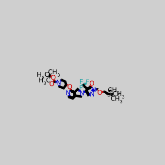 CC(C)(C)OC(=O)N1CCC(Oc2nccc3c2CN(c2cnn(COCC[Si](C)(C)C)c(=O)c2C(F)(F)F)C3)CC1